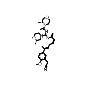 C=C(/C=C\C/C=C(\C)c1ccc(OC)c(CC#N)c1)/N=C(\N=C(/C)N1CCOC[C@@H]1C)N1CCO[C@H](C)C1